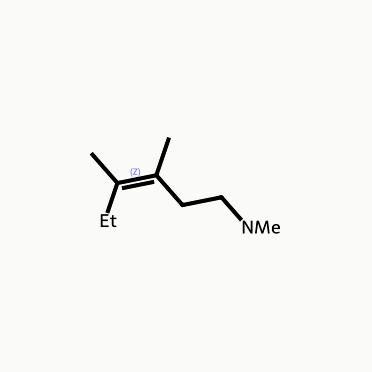 CC/C(C)=C(/C)CCNC